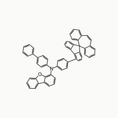 C1=Cc2ccccc2C2(c3ccccc31)c1ccccc1-c1c(-c3ccc(N(c4ccc(-c5ccccc5)cc4)c4cccc5c4oc4ccccc45)cc3)cccc12